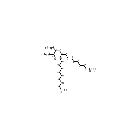 CCCCCCCC1CC(CCCCCCCCC(=O)O)C(CCCCCCCCC(=O)O)CC1CCCCC